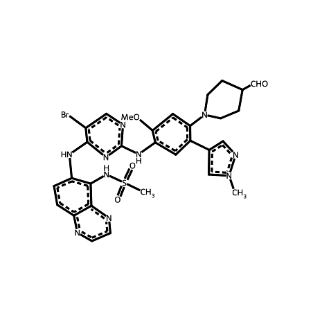 COc1cc(N2CCC(C=O)CC2)c(-c2cnn(C)c2)cc1Nc1ncc(Br)c(Nc2ccc3nccnc3c2NS(C)(=O)=O)n1